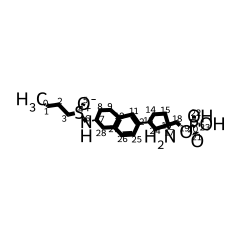 CCCC[S+]([O-])N[C@@H]1CCc2cc([C@H]3CC[C@](N)(COP(=O)(O)O)C3)ccc2C1